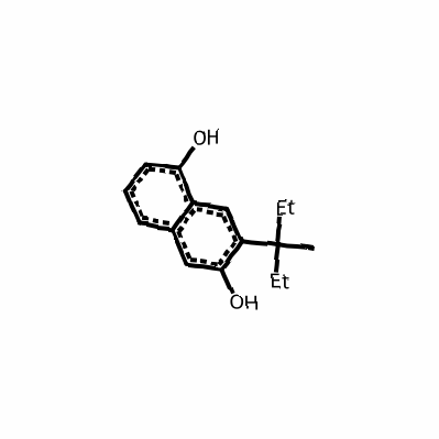 CCC(C)(CC)c1cc2c(O)cccc2cc1O